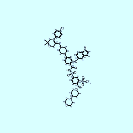 CC1(C)CC(c2ccc(Cl)cc2)=C(CN2CCN(c3ccc(C(=O)NS(=O)(=O)c4ccc(N[C@H]5CC[C@H](N6CCOCC6)CC5)c(S(=O)(=O)C(F)(F)F)c4)c(Oc4cnc5[nH]ccc5c4)c3)CC2)CO1